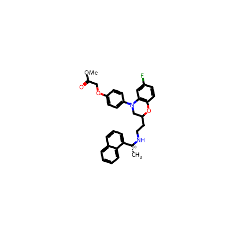 COC(=O)COc1ccc(N2CC(CCN[C@H](C)c3cccc4ccccc34)Oc3ccc(F)cc32)cc1